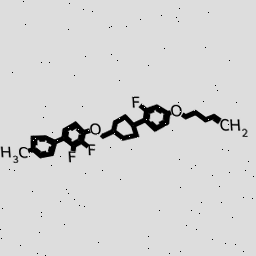 C=CCCCOc1ccc(C2CCC(COc3ccc(-c4ccc(C)cc4)c(F)c3F)CC2)c(F)c1